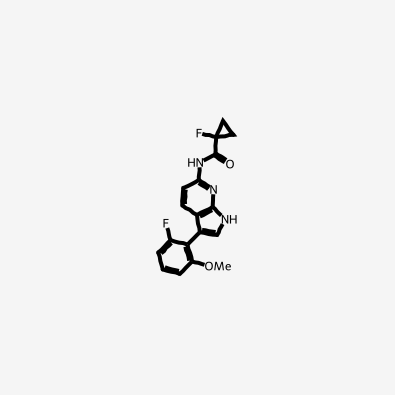 COc1cccc(F)c1-c1c[nH]c2nc(NC(=O)C3(F)CC3)ccc12